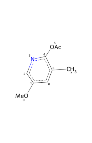 COc1cnc(OC(C)=O)c(C)c1